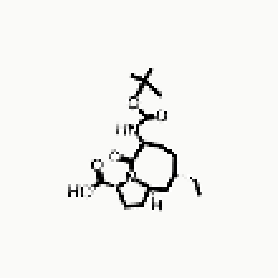 CC[C@H]1CC[C@H](NC(=O)OC(C)(C)C)C(=O)N2[C@H](CC[C@H]2C(=O)O)C1